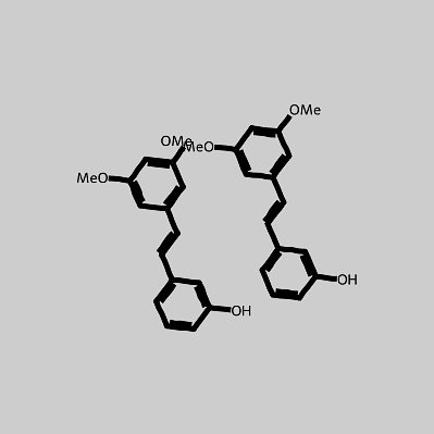 COc1cc(C=Cc2cccc(O)c2)cc(OC)c1.COc1cc(C=Cc2cccc(O)c2)cc(OC)c1